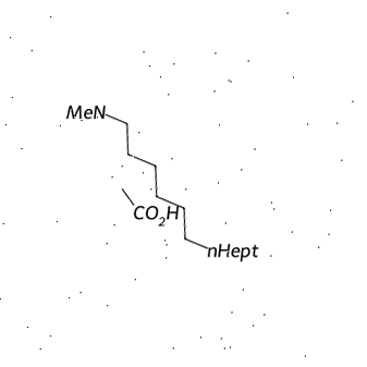 CC(=O)O.CCCCCCCCCCCCCNC